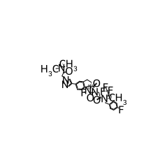 C[C@H](N(Cc1ccc(F)cc1)C(=O)CN1C(=O)N(F)[C@]2(CCc3cc(-c4cnn(CC(=O)N(C)C)c4)ccc32)C1=O)C(F)(F)F